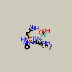 CC(C)(N)C=C(C#N)CNCCn1c(NC(=O)c2ccc(-c3cn[nH]c3)s2)nc2ccccc21.O=C(O)C(F)(F)F